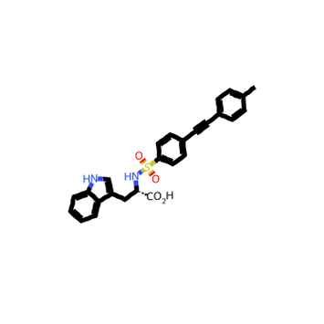 Cc1ccc(C#Cc2ccc(S(=O)(=O)N[C@@H](Cc3c[nH]c4ccccc34)C(=O)O)cc2)cc1